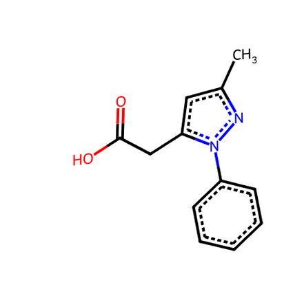 Cc1cc(CC(=O)O)n(-c2ccccc2)n1